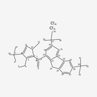 [CH2]=[Zr+2]([C]1=C(CC)C(C(C)(C)C)=CC1C)[c]1cc(C(C)(C)C)cc2c1Cc1ccc(C(C)(C)C)cc1-2.[Cl-].[Cl-]